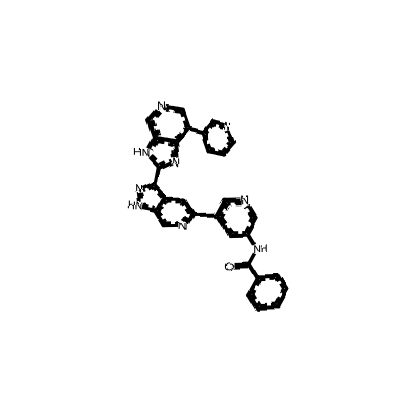 O=C(Nc1cncc(-c2cc3c(-c4nc5c(-c6cccnc6)cncc5[nH]4)n[nH]c3cn2)c1)c1ccccc1